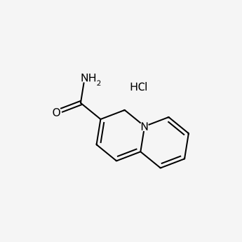 Cl.NC(=O)C1=CC=C2C=CC=CN2C1